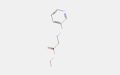 CCOC(=O)CCSc1cccnc1